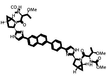 COC(=O)N[C@H](C(=O)N1[C@@H]2C[C@@H]2C[C@H]1c1nc(-c2ccc(-c3ccc4cc(-c5c[nH]c([C@@H]6C[C@H]7C[C@H]7N6C(=O)[C@H]([C@@H](C)OC)N(C)C(=O)O)n5)ccc4c3)cc2)c[nH]1)[C@@H](C)OC